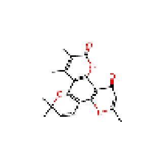 Cc1cc(=O)c2c(o1)c1c(c3c(C)c(C)c(=O)oc32)OC(C)(C)C=[C]1